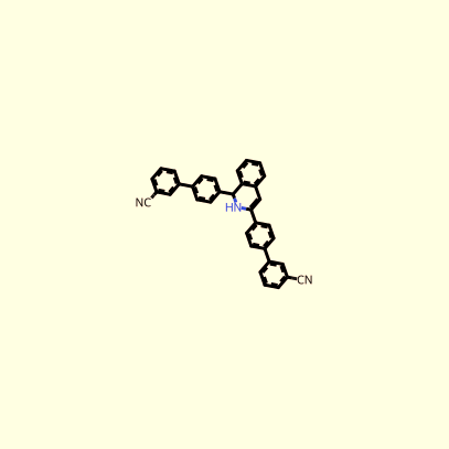 N#Cc1cccc(-c2ccc(C3=Cc4ccccc4C(c4ccc(-c5cccc(C#N)c5)cc4)N3)cc2)c1